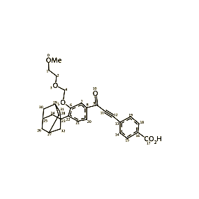 COCCOCOc1cc(C(=O)C#Cc2ccc(C(=O)O)cc2)ccc1C12CC3CC(CC(C3)C1)C2